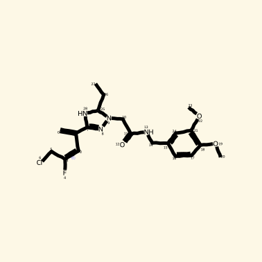 C=C(/C=C(/F)CCl)C1=NN(CC(=O)NCc2ccc(OC)c(OC)c2)C(CC)N1